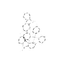 Cn1c2ccccc2c2cc(Cc3ccc4c(c3)c3c5c(ccc3n4C)-c3ccccc3C5(c3ccccc3)c3ccccc3)ccc21